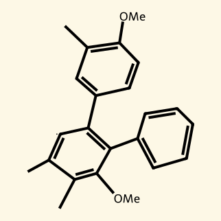 COc1ccc(-c2[c]c(C)c(C)c(OC)c2-c2ccccc2)cc1C